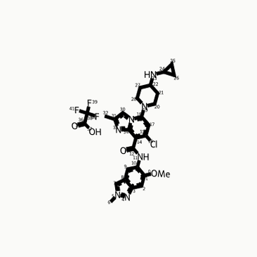 COc1cc2nn(C)cc2cc1NC(=O)c1c(Cl)cc(N2CCC(NC3CC3)CC2)n2cc(C)nc12.O=C(O)C(F)(F)F